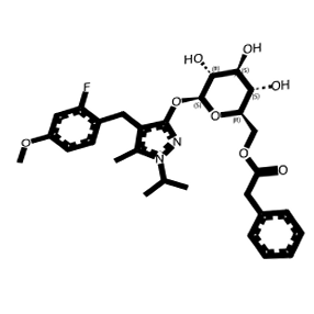 COc1ccc(Cc2c(O[C@@H]3O[C@H](COC(=O)Cc4ccccc4)[C@@H](O)[C@H](O)[C@H]3O)nn(C(C)C)c2C)c(F)c1